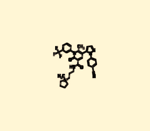 Cc1c(-c2ccnn2-c2ccc(C#N)cc2)cc(C(=O)NCCC[N+]2(C)CCCC2)c(=O)n1-c1cccc(C(F)(F)F)c1